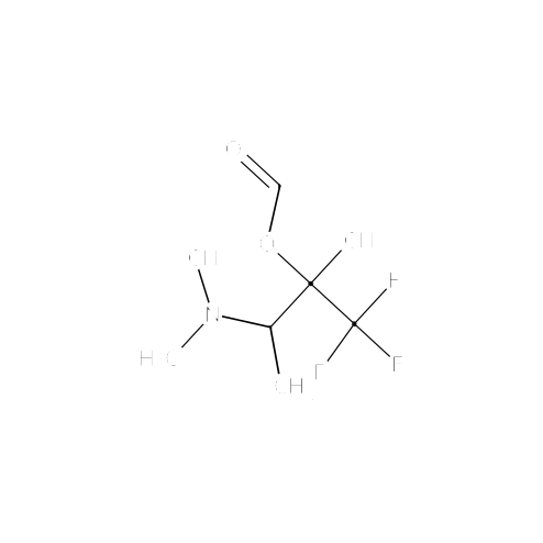 CC(N(C)C)C(C)(OC=O)C(F)(F)F